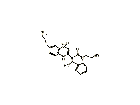 CC(C)CCn1c(=O)c(C2=NS(=O)(=O)c3cc(OCCN)ccc3N2)c(O)c2ccccc21